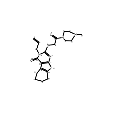 C=CCn1c(SCC(=O)N2CCN(C)CC2)nc2sc3c(c2c1=O)CCCC3